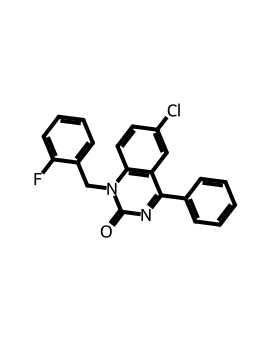 O=c1nc(-c2ccccc2)c2cc(Cl)ccc2n1Cc1ccccc1F